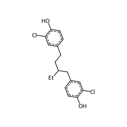 CCC(CCc1ccc(O)c(Cl)c1)Cc1ccc(O)c(Cl)c1